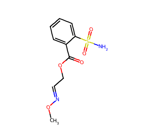 CON=CCOC(=O)c1ccccc1S(N)(=O)=O